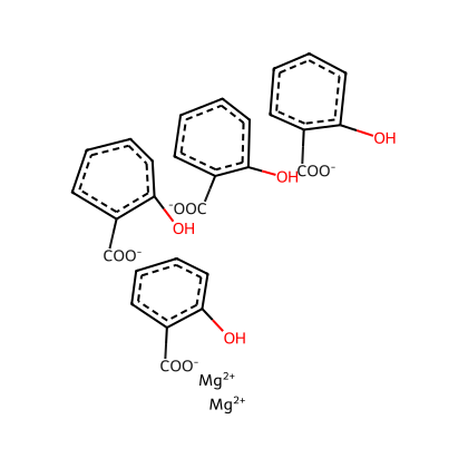 O=C([O-])c1ccccc1O.O=C([O-])c1ccccc1O.O=C([O-])c1ccccc1O.O=C([O-])c1ccccc1O.[Mg+2].[Mg+2]